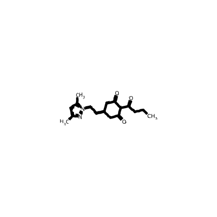 CCCC(=O)C1C(=O)CC(CCn2nc(C)cc2C)CC1=O